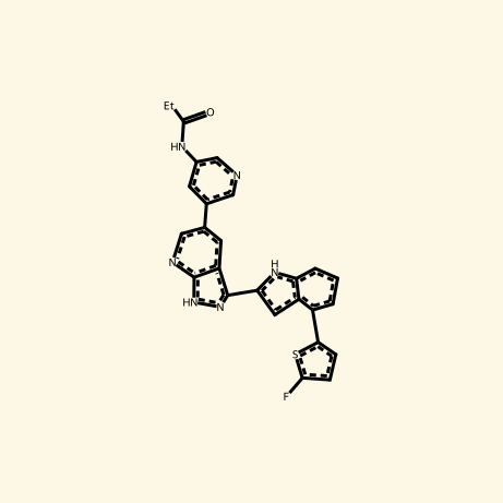 CCC(=O)Nc1cncc(-c2cnc3[nH]nc(-c4cc5c(-c6ccc(F)s6)cccc5[nH]4)c3c2)c1